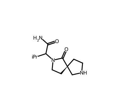 CC(C)C(C(N)=O)N1CC[C@]2(CCNC2)C1=O